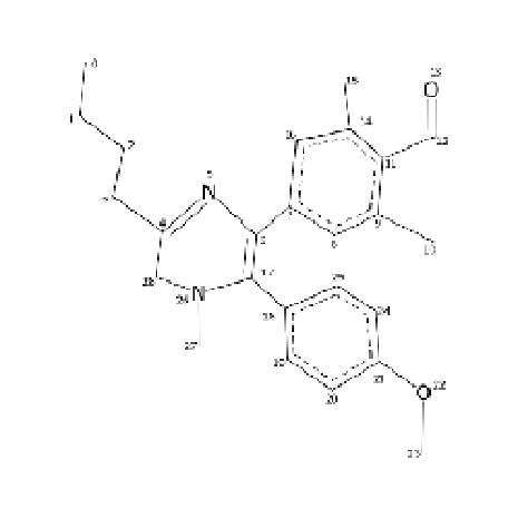 CCCCC1=NC(c2cc(C)c(C=O)c(C)c2)=C(c2ccc(OC)cc2)N(C)C1